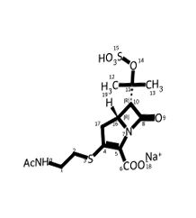 CC(=O)NCCSC1=C(C(=O)[O-])N2C(=O)[C@@H](C(C)(C)OS(=O)(=O)O)[C@H]2C1.[Na+]